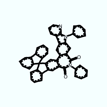 O=c1c2cc3c(cc2c2cc4c5cccnc5n(-c5ccccc5)c4cc2c(=O)n1-c1ccccc1)C1(c2ccccc2-c2ccccc21)c1ccccc1-3